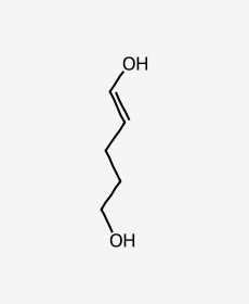 OC=CCCCO